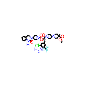 CCOC(=O)C1(C)CCN(C2CCN(C(=O)[C@@H](Cc3cc(Cl)c(N)c(C(F)(F)F)c3)OC(=O)N3CCC(N4CCc5ccccc5NC4=O)CC3)CC2)CC1